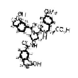 COc1ccc([C@H](CC(=O)O)NC(=O)[C@@H]2C[C@@H](NC(=O)c3ccc4c(c3)B(O)OC4)CN2C(=O)c2ccc3c(c2)B(O)OC3)cc1